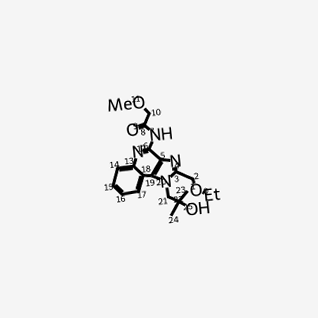 CCOCc1nc2c(NC(=O)COC)nc3ccccc3c2n1CC(C)(C)O